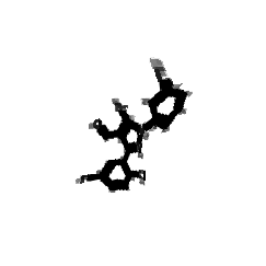 O=Cc1c(-c2cc(F)ccc2Cl)nn(-c2cccc(F)c2)c1Br